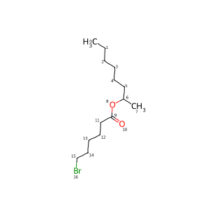 CCCCCCC(C)OC(=O)CCCCCBr